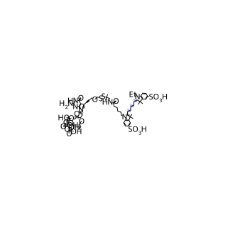 C=CCOC1C[C@H](n2cc(C#CCOCSSC(C)(C)CNC(=O)CCCCC[N+]3=C(/C=C/C=C/C=C4/N(CC)c5ccc(S(=O)(=O)O)cc5C4(C)C)C(C)(C)c4cc(S(=O)(=O)O)ccc43)c3c(=O)[nH]c(N)nc32)O[C@@H]1COP(=O)(O)OP(=O)(O)OP(=O)(O)O